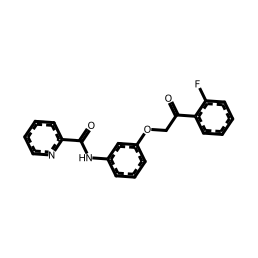 O=C(Nc1cccc(OCC(=O)c2ccccc2F)c1)c1ccccn1